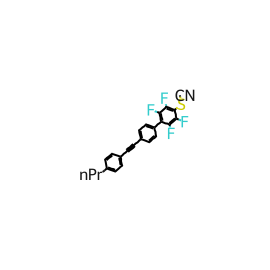 CCCc1ccc(C#Cc2ccc(-c3c(F)c(F)c(SC#N)c(F)c3F)cc2)cc1